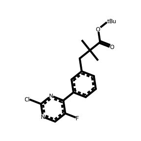 CC(C)(C)OC(=O)C(C)(C)Cc1cccc(-c2nc(Cl)ncc2F)c1